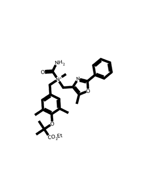 CCOC(=O)C(C)(C)Oc1c(C)cc(C[N+](C)(Cc2nc(-c3ccccc3)oc2C)C(N)=O)cc1C